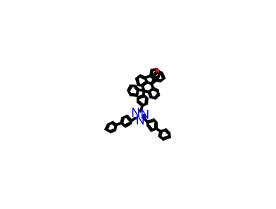 c1ccc(-c2ccc(-c3nc(-c4ccc(-c5ccccc5)cc4)nc(-c4ccc(C5(c6ccccc6)c6ccccc6C6(c7ccccc7)c7ccccc7-c7cccc5c76)cc4)n3)cc2)cc1